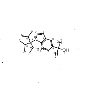 [2H]C([2H])(O)c1cnc2c(ccn2[Si](C(C)C)(C(C)C)C(C)C)c1